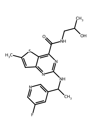 Cc1cc2nc(NC(C)c3cncc(F)c3)nc(C(=O)NCC(C)O)c2s1